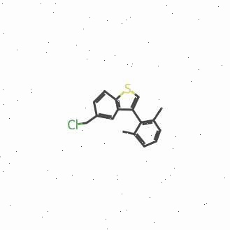 Cc1cccc(C)c1-c1csc2ccc(CCl)cc12